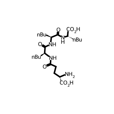 CCCC[C@H](NC(=O)[C@H](CCCC)NC(=O)[C@H](CCCC)NC(=O)CC[C@H](N)C(=O)O)C(=O)O